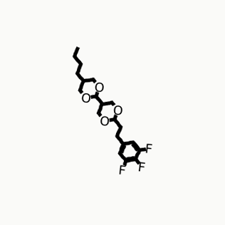 CCCCC1COC(C2COC(CCc3cc(F)c(F)c(F)c3)OC2)OC1